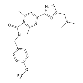 Cc1cc(-c2nnc(CN(C)C)o2)cc2c1C(=O)N(Cc1ccc(OC(F)(F)F)cc1)C2